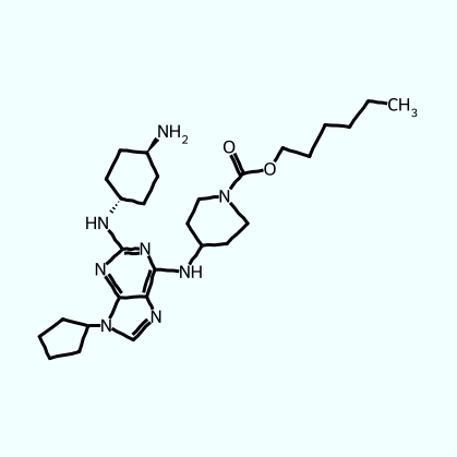 CCCCCCOC(=O)N1CCC(Nc2nc(N[C@H]3CC[C@H](N)CC3)nc3c2ncn3C2CCCC2)CC1